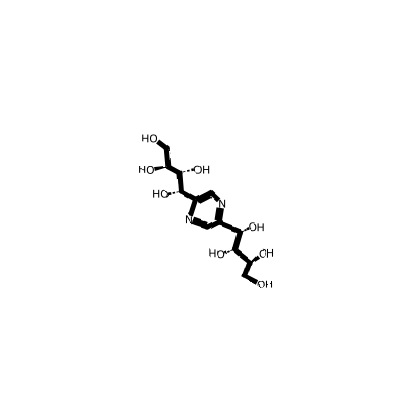 OC[C@H](O)[C@H](O)[C@@H](O)c1cnc([C@H](O)[C@@H](O)[C@@H](O)CO)cn1